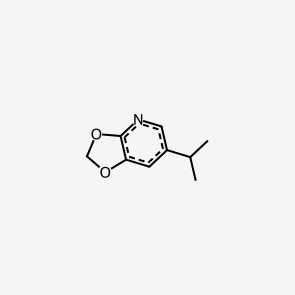 CC(C)c1cnc2c(c1)OCO2